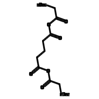 CCCCCCCCCCCC(=O)OC(=O)CCCC(=O)OC(=O)CCCCCCCCCCC